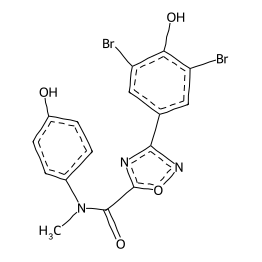 CN(C(=O)c1nc(-c2cc(Br)c(O)c(Br)c2)no1)c1ccc(O)cc1